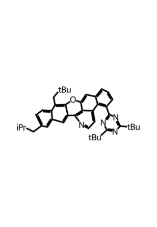 CC(C)Cc1ccc2c(CC(C)(C)C)c3c(cc2c1)-c1nccc2c1c(cc1cccc(-c4nc(C(C)(C)C)nc(C(C)(C)C)n4)c12)O3